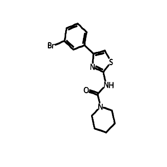 O=C(Nc1nc(-c2cccc(Br)c2)cs1)N1CCCCC1